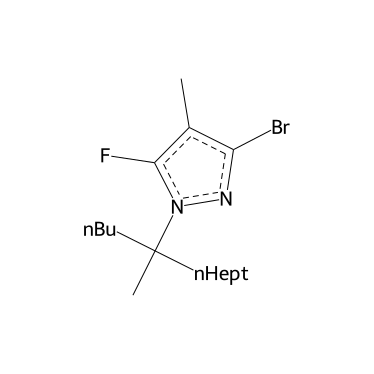 CCCCCCCC(C)(CCCC)n1nc(Br)c(C)c1F